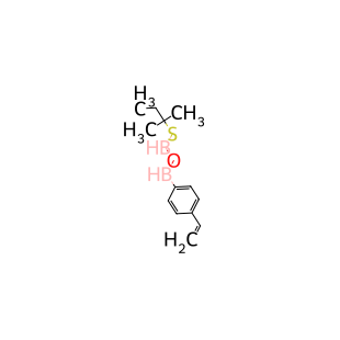 C=Cc1ccc(BOBSC(C)(C)CC)cc1